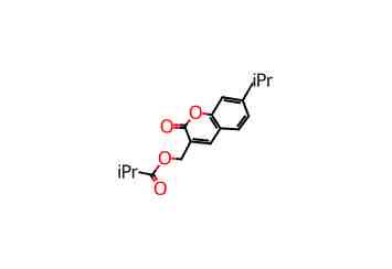 CC(C)C(=O)OCc1cc2ccc(C(C)C)cc2oc1=O